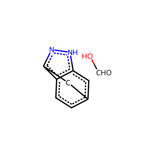 O=CO.c1cc2c3n[nH]c2cc1C3